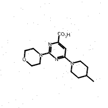 CC1CCN(c2cc(C(=O)O)nc(N3CCOCC3)n2)CC1